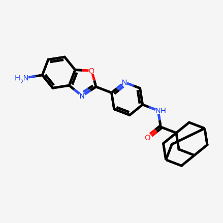 Nc1ccc2oc(-c3ccc(NC(=O)C45CC6CC(CC(C6)C4)C5)cn3)nc2c1